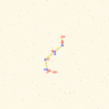 O=C(NCSCSCSC/N=C\[S+]([O-])CSCSCSC(=O)NCSCSCSC/N=C\OOCSCO)OCSCO